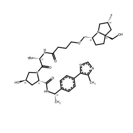 Cc1ncsc1-c1ccc([C@H](C)NC(=O)[C@@H]2C[C@@H](O)CN2C(=O)[C@@H](NC(=O)CCCOC[C@H]2CC[C@@]3(CO)C[C@@H](F)CN23)C(C)(C)C)cc1